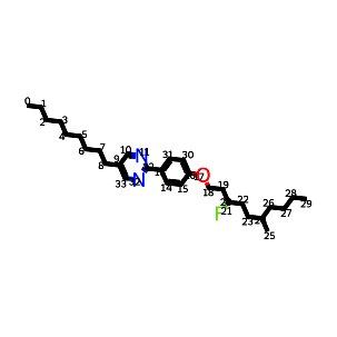 CCCCCCCCCc1cnc(-c2ccc(OCCC(F)CCC(C)CCCC)cc2)nc1